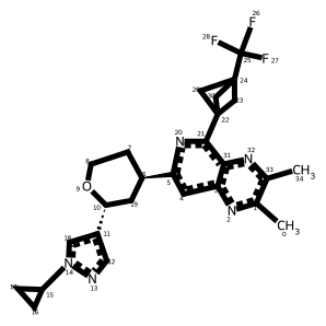 Cc1nc2cc([C@@H]3CCO[C@@H](c4cnn(C5CC5)c4)C3)nc(C34CC(C(F)(F)F)(C3)C4)c2nc1C